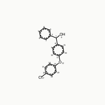 OC(c1ccccc1)c1ccc(Oc2ccc(Cl)cc2)cc1